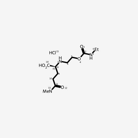 CCNC(=O)OCCN[C@@H](CCC(=O)NC)C(=O)O.Cl